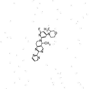 CC1COCCN1c1cc(F)nc(N2CCc3nc(-c4ncccn4)ncc3C2C)c1